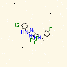 CC(NCc1cnc(Nc2cccc(Cl)c2)nc1C(F)(F)F)c1ccc(F)cc1